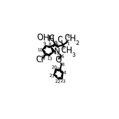 C=CC(C)(C)c1c(C=O)c2ccc(Cl)cc2n1COCc1ccccc1